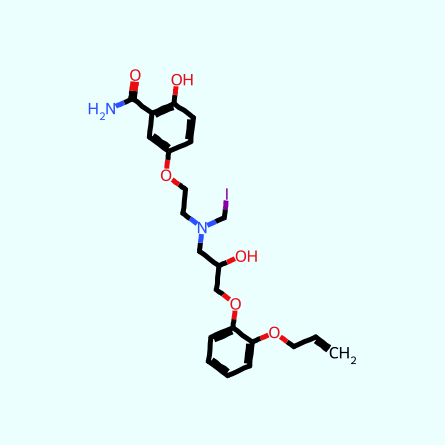 C=CCOc1ccccc1OCC(O)CN(CI)CCOc1ccc(O)c(C(N)=O)c1